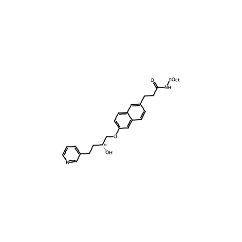 CCCCCCCCNC(=O)CCc1ccc2cc(OC[C@H](O)CCc3cccnc3)ccc2c1